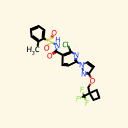 Cc1ccccc1S(=O)(=O)NC(=O)c1ccc(-n2ccc(OCC3(C(F)(F)F)CCC3)n2)nc1Cl